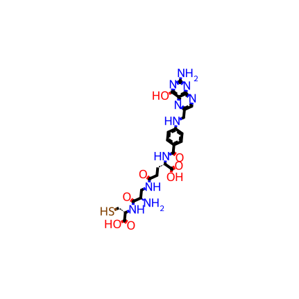 Nc1nc(O)c2nc(CNc3ccc(C(=O)N[C@@H](CCC(=O)NC[C@@H](N)C(=O)N[C@@H](CS)C(=O)O)C(=O)O)cc3)cnc2n1